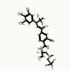 CN(CC(F)(F)F)C[C@@](C)(C=O)NC(=O)c1ccc(/C(F)=C/C(c2cc(Cl)c(Cl)c(Cl)c2)C(C)(F)F)cc1Br